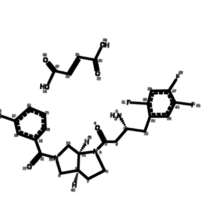 N[C@@H](CC(=O)N1CC[C@H]2CN(C(=O)c3cccc(Cl)c3)C[C@H]21)Cc1cc(F)c(F)cc1F.O=C(O)C=CC(=O)O